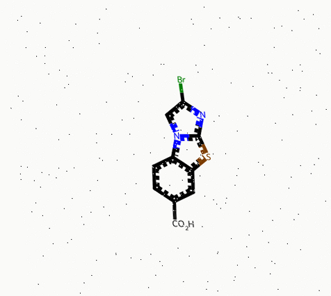 O=C(O)c1ccc2c(c1)sc1nc(Br)cn12